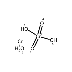 O.[Cr].[O]=[Cr](=[O])([OH])[OH]